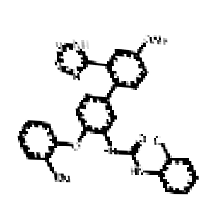 COc1ccc(-c2ccc(Oc3ccccc3C(C)(C)C)c(NC(=O)Nc3ccccc3Cl)c2)c(-c2nnn[nH]2)c1